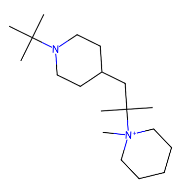 CC(C)(C)N1CCC(CC(C)(C)[N+]2(C)CCCCC2)CC1